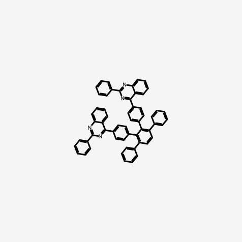 c1ccc(-c2nc(-c3ccc(-c4c(-c5ccccc5)ccc(-c5ccccc5)c4-c4ccc(-c5nc(-c6ccccc6)nc6ccccc56)cc4)cc3)c3ccccc3n2)cc1